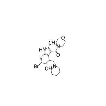 Cc1[nH]c2cc(Br)c(O)c(CN3CCCCC3)c2c1C(=O)N1CCOCC1